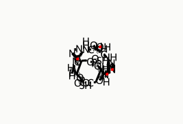 O=[P@]1(S)OCC2O[C@@H]3[C@H](F)[C@@H]2O[P@](=O)(S)OCC2OC([C@H](F)[C@@H]2O1)n1cnc2c(ncnc21)NC[C@H](O)[C@@H](O)CNc1ncnc2c1ncn23